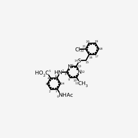 CC(=O)Nc1ccc(C(=O)O)c(Nc2cc(C)nc(SCc3ccccc3Cl)n2)c1